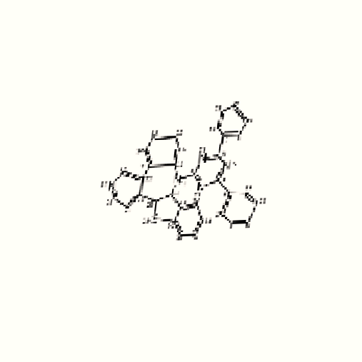 c1ccc(-c2nc(-c3ccccc3)nc(N3c4ccccc4-c4cnccc4C4Sc5ccccc5C43)n2)cc1